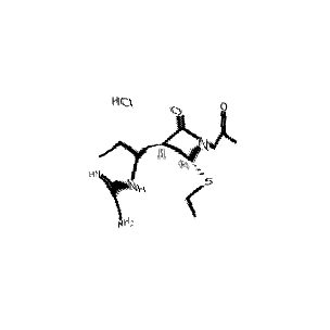 CCS[C@@H]1[C@@H](C(CC)NC(=N)N)C(=O)N1C(C)=O.Cl